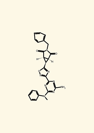 CN(c1ccccc1)c1nc(N)nc(-c2noc([C@@H]3[C@@H]4C(=O)N(Cc5ccccc5)C(=O)[C@@H]43)n2)n1